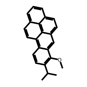 COc1c(C(C)C)ccc2c1cc1ccc3cccc4ccc2c1c34